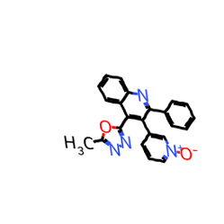 Cc1nnc(-c2c(-c3ccc[n+]([O-])c3)c(-c3ccccc3)nc3ccccc23)o1